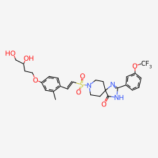 Cc1cc(OCCC(O)CO)ccc1C=CS(=O)(=O)N1CCC2(CC1)N=C(c1cccc(OC(F)(F)F)c1)NC2=O